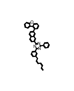 C=C/C=C\C=C/Cc1cccc(-c2nc(-c3ccccc3)nc(-c3ccc4ccc(-c5cccc6oc7ccccc7c56)cc4c3)n2)c1